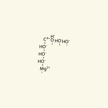 [C+4].[Mg+2].[OH-].[OH-].[OH-].[OH-].[OH-].[OH-]